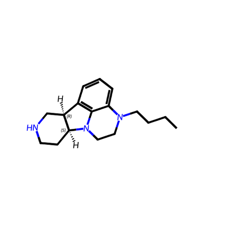 CCCCN1CCN2c3c(cccc31)[C@@H]1CNCC[C@@H]12